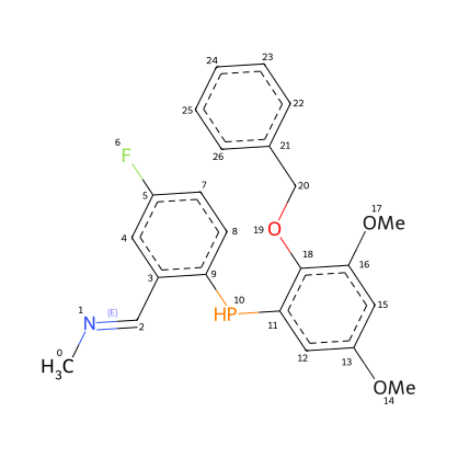 C/N=C/c1cc(F)ccc1Pc1cc(OC)cc(OC)c1OCc1ccccc1